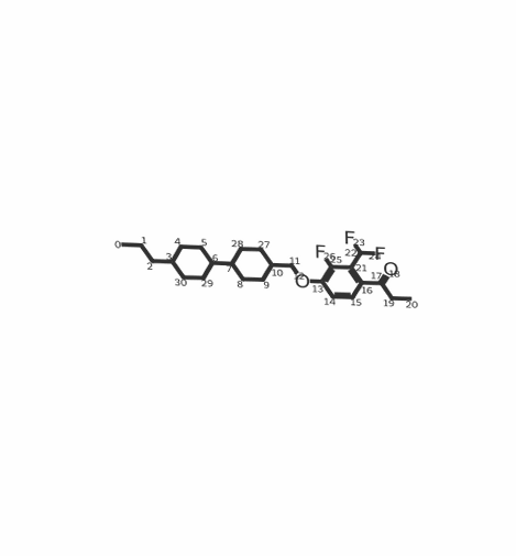 CCCC1CCC(C2CCC(COc3ccc(C(=O)CC)c(C(F)F)c3F)CC2)CC1